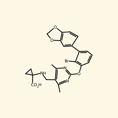 Cc1nc(Oc2cccc(-c3ccc4c(c3)OCO4)c2Br)nc(C)c1CNC1(C(=O)O)CC1